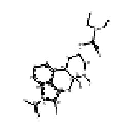 CCN(CC)C(=O)N[C@H]1CC2c3cccc4c3c(c(I)n4C(C)=O)C[C@H]2N(C)C1